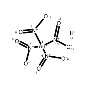 O=[N+]([O-])[Au-]([N+](=O)[O-])([N+](=O)[O-])[N+](=O)[O-].[H+]